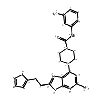 Cc1cccc(NC(=O)N2CCN(c3nc(N)nc4sc(CCc5cccs5)nc34)CC2)c1